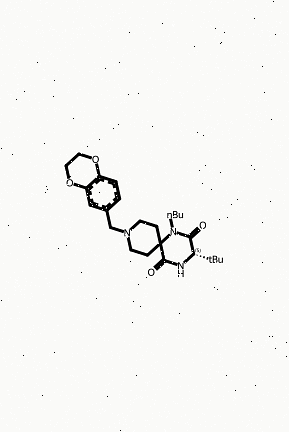 CCCCN1C(=O)[C@H](C(C)(C)C)NC(=O)C12CCN(Cc1ccc3c(c1)OCCO3)CC2